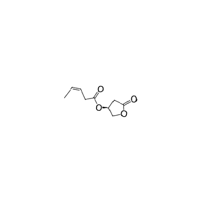 C/C=C\CC(=O)O[C@@H]1COC(=O)C1